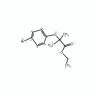 CCOC(=O)C(C)(C)Oc1ccc(Br)cc1